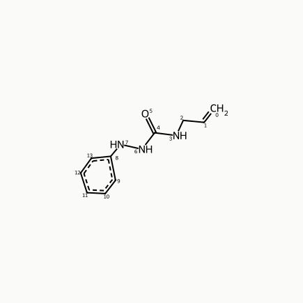 C=CCNC(=O)NNc1ccccc1